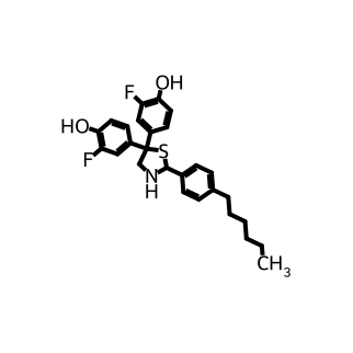 CCCCCCc1ccc(C2NCC(c3ccc(O)c(F)c3)(c3ccc(O)c(F)c3)S2)cc1